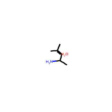 CC(C)=CC(C)N.O